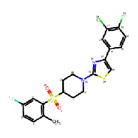 Cc1ccc(F)cc1S(=O)(=O)C1CCN(c2nc(-c3ccc(Cl)c(Cl)c3)cs2)CC1